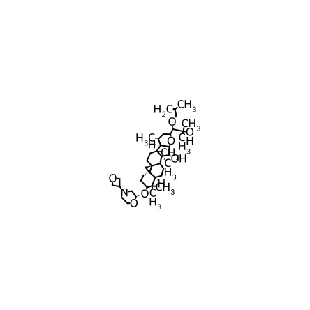 C=C(C)CO[C@@H](C1C[C@@H](C)[C@H]2C(O1)[C@H](O)[C@@]1(C)C3CC[C@H]4C(C)(C)C(O[C@H]5CN(C6COC6)CCO5)CC[C@@]45C[C@@]35CC[C@]21C)C(C)(C)O